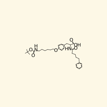 CC(C)(C)OC(=O)NCCCCCCOc1ccc(CC(NC(=O)CCCCc2ccccc2)C(=O)O)cc1